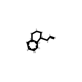 C=C[CH]C1CCCc2ccccc21